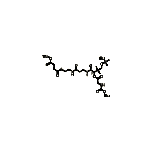 CC(C)(C)OC(=O)CCC(=O)SCCNC(=O)CCNC(=O)[C@H](OC(=O)CNC(=O)OC(C)(C)C)C(C)(C)CO[Si](C)(C)C(C)(C)C